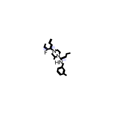 C=C/C=C(\C(F)=C/C)N1CCN(/C(=C\CC)NCc2cccc(C)c2)C(C)C1